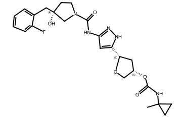 CC1(NC(=O)O[C@@H]2CO[C@H](c3cc(NC(=O)N4CC[C@](O)(Cc5ccccc5F)C4)n[nH]3)C2)CC1